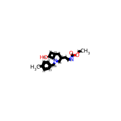 CCOC(=O)/N=C\CC1CC2C[C@H](O)C2N(Cc2ccc(C)cc2)C1